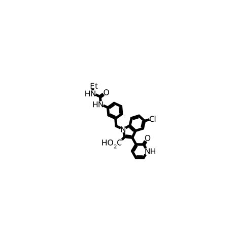 CCNC(=O)Nc1cccc(Cn2c(C(=O)O)c(-c3ccc[nH]c3=O)c3cc(Cl)ccc32)c1